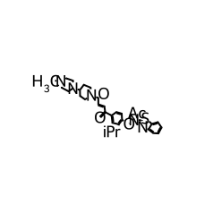 CC(=O)N(Oc1ccc(C(=O)C=CC(=O)N2CCC(N3CCN(C)CC3)CC2)cc1C(C)C)c1nc2ccccc2s1